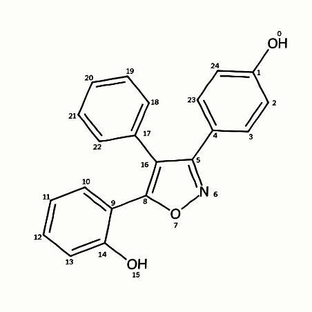 Oc1ccc(-c2noc(-c3ccccc3O)c2-c2ccccc2)cc1